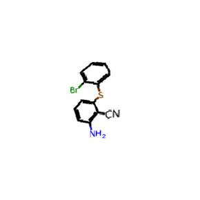 N#Cc1c(N)cccc1Sc1ccccc1Br